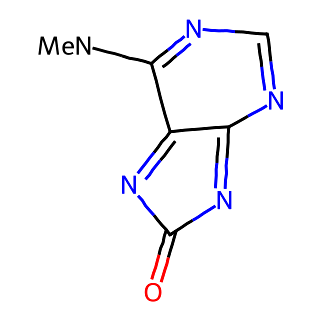 CNc1ncnc2c1=NC(=O)N=2